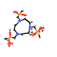 CP(=O)(O)CN1CCN(CP(C)(=O)O)CCN(CP(C)(=O)O)CC1